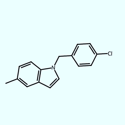 Cc1ccc2c(ccn2Cc2ccc(Cl)cc2)c1